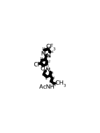 CC(=O)N[C@@H](C)/C=C/c1ccc(Oc2ccc(-c3ncc(C(F)(F)F)cn3)cc2Cl)nc1